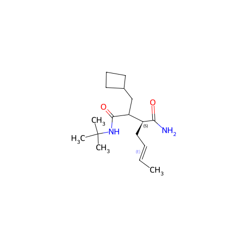 C/C=C/C[C@H](C(N)=O)C(CC1CCC1)C(=O)NC(C)(C)C